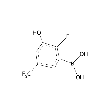 OB(O)c1cc(C(F)(F)F)cc(O)c1F